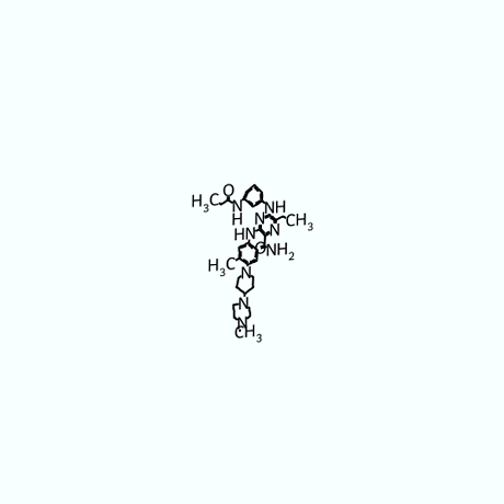 CCC(=O)Nc1cccc(Nc2nc(Nc3ccc(N4CCC(N5CCN(C)CC5)CC4)c(C)c3)c(C(N)=O)nc2CC)c1